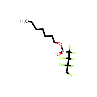 CCCCCCC[O][Sn](=[O])[C](F)(F)C(F)(F)C(F)(F)CF